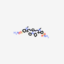 CCN1/C(=C/C=C2\CCC(/C=C/C3=[N+](CC)c4ccc(SOON)cc4C3(C)C)=C2N(c2ccccc2)c2ccccc2)C(C)(C)c2cc(S(N)(=O)=O)ccc21